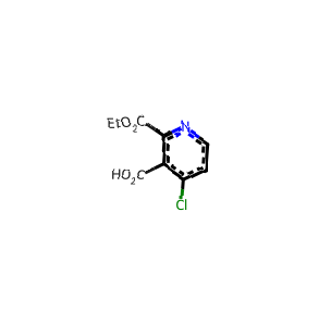 CCOC(=O)c1nccc(Cl)c1C(=O)O